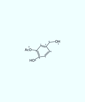 CC(=O)Oc1cc(CO)ccc1O